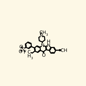 C#Cc1ccc2c(c1)[nH]c1c2c(=O)c2cc(CC)c(-c3cccc(S(=O)(=O)F)c3)cc2n1C1CCN(C)CC1